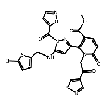 COC(=O)c1ccc(=O)n(CC(=O)c2cnsc2)c1-c1cc(NCc2ccc(Cl)s2)n(C(=O)c2ccno2)n1